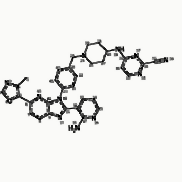 Cc1ncoc1-c1ccc2nc(-c3cccnc3N)n(-c3ccc(CN4CCC(Nc5ccnc(C#N)n5)CC4)cc3)c2n1